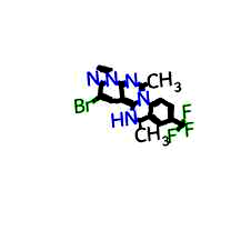 Cc1nc(N[C@H](C)c2cccc(C(F)(F)F)c2)c2cc(Br)c3nccn3c2n1